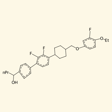 CCCC(O)c1ccc(-c2ccc(C3CCC(COc4ccc(OCC)c(F)c4)CC3)c(F)c2F)cc1